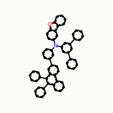 c1ccc(-c2cc(-c3ccccc3)cc(N(c3cccc(-c4ccc5c(c4)c(-c4ccccc4)c(-c4ccccc4)c4ccccc45)c3)c3ccc4oc5ccccc5c4c3)c2)cc1